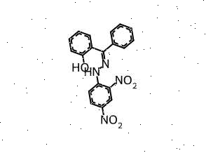 O=[N+]([O-])c1ccc(NN=C(c2ccccc2)c2ccccc2O)c([N+](=O)[O-])c1